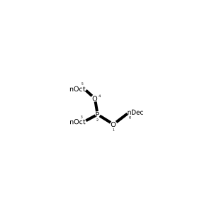 CCCCCCCCCCOP(CCCCCCCC)OCCCCCCCC